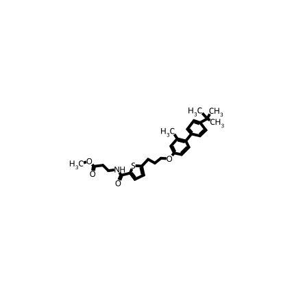 COC(=O)CCNC(=O)c1ccc(CCCOc2ccc(-c3ccc(C(C)(C)C)cc3)c(C)c2)s1